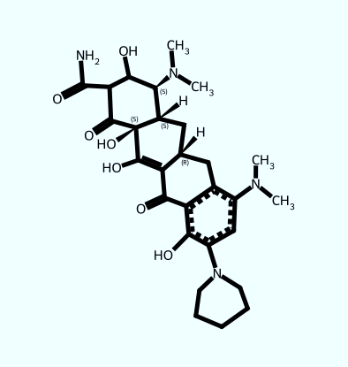 CN(C)c1cc(N2CCCCC2)c(O)c2c1C[C@H]1C[C@H]3[C@H](N(C)C)C(O)C(C(N)=O)C(=O)[C@@]3(O)C(O)=C1C2=O